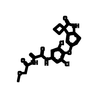 C=C(NC(=O)COC)C(=O)Nc1cc(Cl)c(Oc2ccc3c(c2)C2(CCC2)C(=O)N3)c(Cl)c1